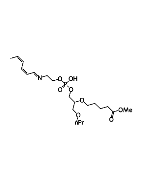 C\C=C/C=C\C=N\CCOP(=O)(O)OCC(COCCC)OCCCCC(=O)OC